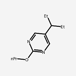 CCCOc1ncc(C(CC)CC)cn1